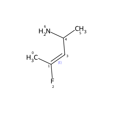 C/C(F)=C\C(C)N